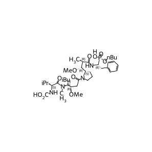 CCCCOP(=O)(O)[C@H](Cc1ccccc1)NC(=O)[C@H](C)[C@@H](OC)[C@@H]1CCCN1C(=O)C[C@@H](OC)[C@H]([C@@H](C)CC)N(C)C(=O)[C@@H](NC(=O)O)C(C)C